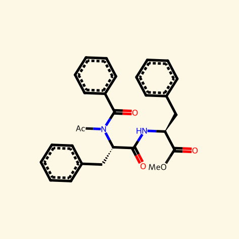 COC(=O)[C@H](Cc1ccccc1)NC(=O)[C@H](Cc1ccccc1)N(C(C)=O)C(=O)c1ccccc1